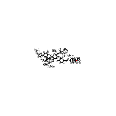 COC(=O)N[C@H](C(=O)N[C@H](C(=O)N[C@@H](Cc1ccc(C#Cc2cnc(N3CC4CC(C3)N4C3COC3)nc2)cc1)[C@@H](O)CN(Cc1c(F)cc(-c2ccn(CC(F)F)n2)cc1F)NC(=O)[C@@H](NC(=O)OC)C(C)(C)C)C(C)(C)C)C(C)C